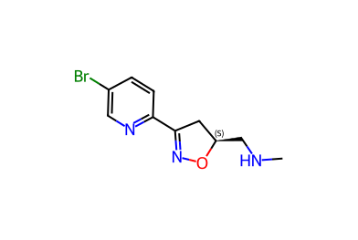 CNC[C@@H]1CC(c2ccc(Br)cn2)=NO1